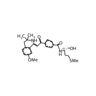 COc1ccc2c(c1)C(=CC(=O)c1ccc(C(=O)N[C@H](CO)CCSC)cc1)NC(C)(C)C2